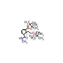 CNC(=O)C1C=CC=C(B2OC(C)(C)C(C)(C)O2)C1(F)CCO[Si](C)(C)C(C)(C)C